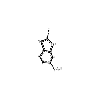 O=C(O)c1ccc2nc(F)sc2c1